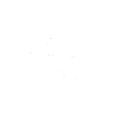 COc1ccc(C[C@H]2COC(=O)[C@@H]2Cc2ccc(OC(=O)N(C)CCN3CCOCC3)c(OC)c2)cc1OC